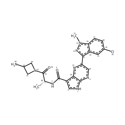 C[C@@H](NC(=O)c1c[nH]c2ncc(-c3nn(C)c4ccc(Cl)cc34)nc12)C(=O)N1CC(N)C1